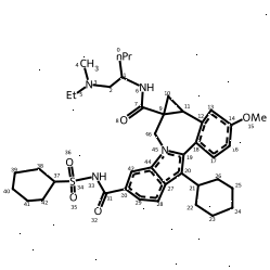 CCCC(CN(C)CC)NC(=O)C12CC1c1cc(OC)ccc1-c1c(C3CCCCC3)c3ccc(C(=O)NS(=O)(=O)C4CCCCC4)cc3n1C2